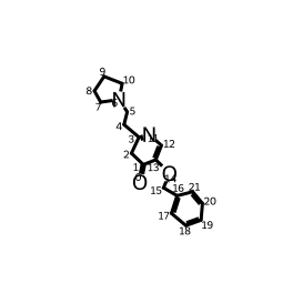 O=C1CC(CCN2CCCC2)=NC=C1OCc1ccccc1